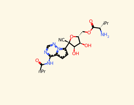 CCCC(=O)Nc1ncnn2c([C@]3(C#N)O[C@H](COC(=O)[C@@H](N)C(C)C)[C@@H](O)[C@H]3O)ccc12